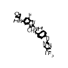 Cn1c(NCc2ccc(Oc3ncc(C(F)(F)F)cn3)cc2)nc2c(F)cc(NC3COC3)cc21